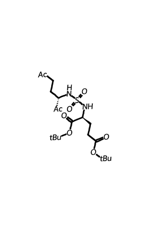 CC(=O)CC[C@H](NS(=O)(=O)N[C@@H](CCC(=O)OC(C)(C)C)C(=O)OC(C)(C)C)C(C)=O